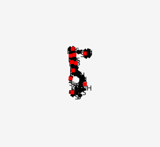 Cc1nc(C)c(C)c(SCCSc2c(C)c(C)nc3nc4nc5nc6nc7nc8sssssssc9c%10cc%11cc8c(nc%11nc%10nc8[nH]c(=S)c%10c(nc%11nc(C)c(C)c%12sssc%10c%11%12)c89)c7cc6c6ssc(c4cc23)c56)c1C